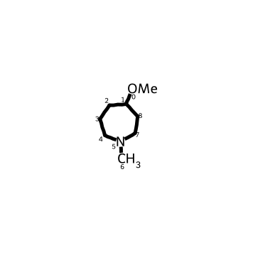 COC1CCCN(C)CC1